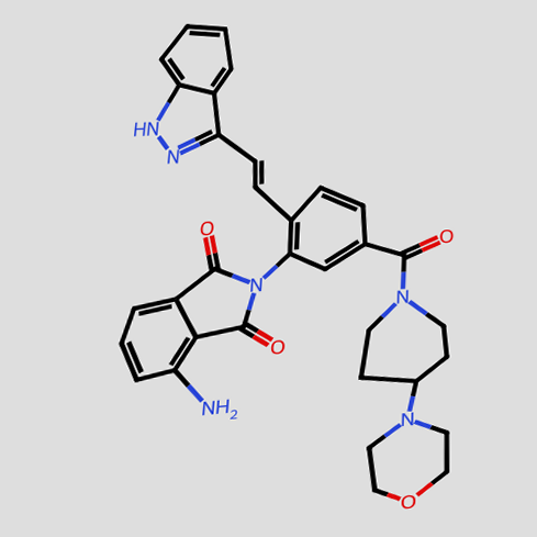 Nc1cccc2c1C(=O)N(c1cc(C(=O)N3CCC(N4CCOCC4)CC3)ccc1/C=C/c1n[nH]c3ccccc13)C2=O